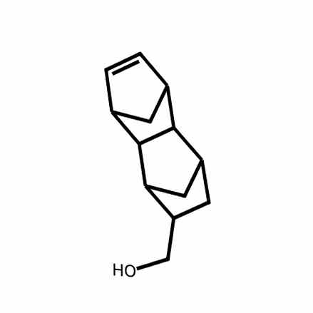 OCC1CC2CC1C1C3C=CC(C3)C21